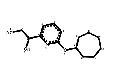 N#CCC(O)c1cccc(OC2CCCCCC2)n1